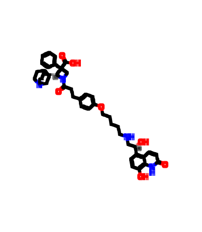 O=C(CCc1ccc(OCCCCCNC[C@H](O)c2ccc(O)c3[nH]c(=O)ccc23)cc1)N1CC(C(=O)O)(c2ccccc2)[C@H]1C1CN2CCC1CC2